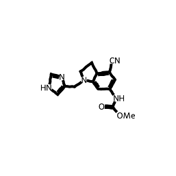 COC(=O)Nc1cc(C#N)c2c(c1)N(Cc1c[nH]cn1)CC2